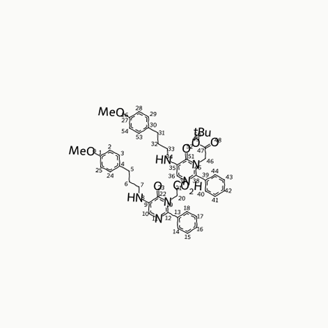 COc1ccc(CCCNc2cnc(-c3ccccc3)n(CC(=O)O)c2=O)cc1.COc1ccc(CCCNc2cnc(-c3ccccc3)n(CC(=O)OC(C)(C)C)c2=O)cc1